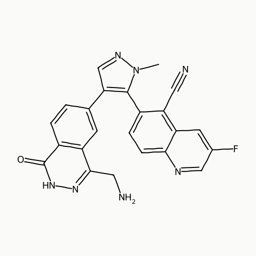 Cn1ncc(-c2ccc3c(=O)[nH]nc(CN)c3c2)c1-c1ccc2ncc(F)cc2c1C#N